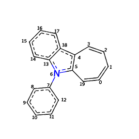 C1=CC=Cc2c(n(-c3ccccc3)c3ccccc23)C=1